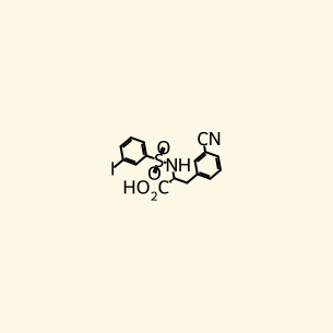 N#Cc1cccc(C[C@H](NS(=O)(=O)c2cccc(I)c2)C(=O)O)c1